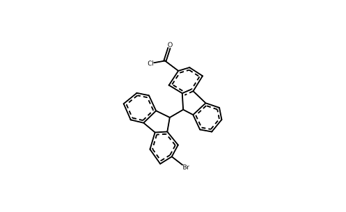 O=C(Cl)c1ccc2c(c1)C(C1c3ccccc3-c3ccc(Br)cc31)c1ccccc1-2